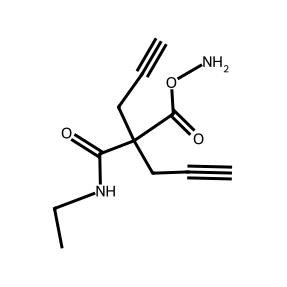 C#CCC(CC#C)(C(=O)NCC)C(=O)ON